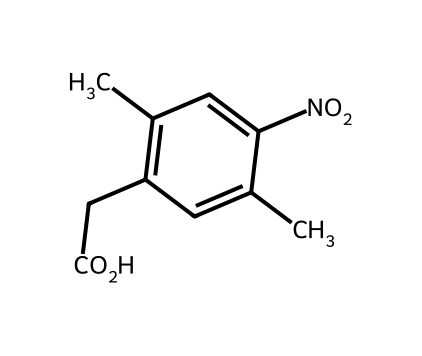 Cc1cc([N+](=O)[O-])c(C)cc1CC(=O)O